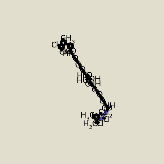 C=C(Cl)C1=C(/C=C/Cl)[C@H](C(=C)/C=C\C=C\S(=O)(=O)NCCOCCOCCOCCNC(=O)C(O)C(O)C(=O)NCCOCCOCCOCCNS(=O)(=O)c2cccc(C3CN(C)Cc4c(Cl)cc(Cl)cc43)c2)CN(C)C1